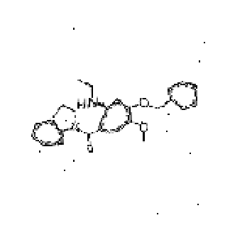 CCNc1cc(OCc2ccccc2)c(OC)cc1C(=O)N1CCc2ccccc21